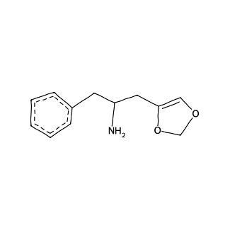 NC(CC1=COCO1)Cc1ccccc1